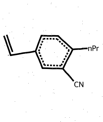 C=[C]c1ccc(CCC)c(C#N)c1